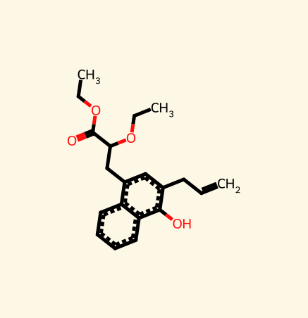 C=CCc1cc(CC(OCC)C(=O)OCC)c2ccccc2c1O